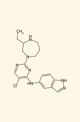 CCC1CN(c2ncc(Cl)c(Nc3ccc4[nH]ncc4c3)n2)CCCN1